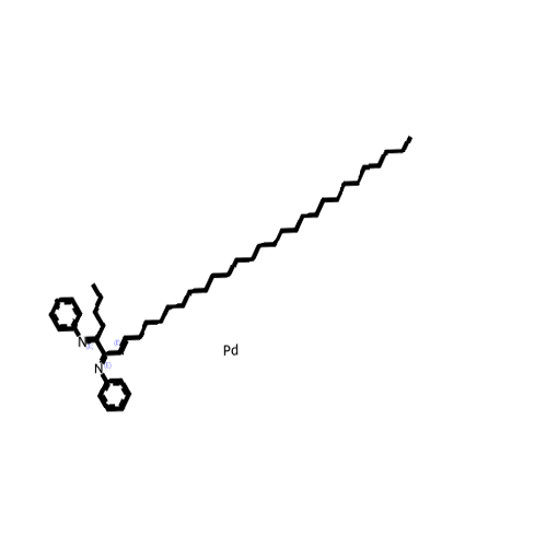 CCCCCCCCCCCCCCCCCCCCCCCCCC/C=C/C(=N\c1ccccc1)C(/CCCC)=N/c1ccccc1.[Pd]